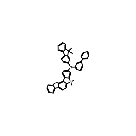 CC1(C)c2ccccc2-c2ccc(N(c3cccc(-c4ccccc4)c3)c3ccc4c(c3)[Si](C)(C)c3ccc5c(sc6ccccc65)c3-4)cc21